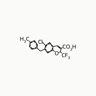 Cc1ccc(Cc2cc3c(cc2Cl)C=C(C(=O)O)C(C(F)(F)F)O3)cc1